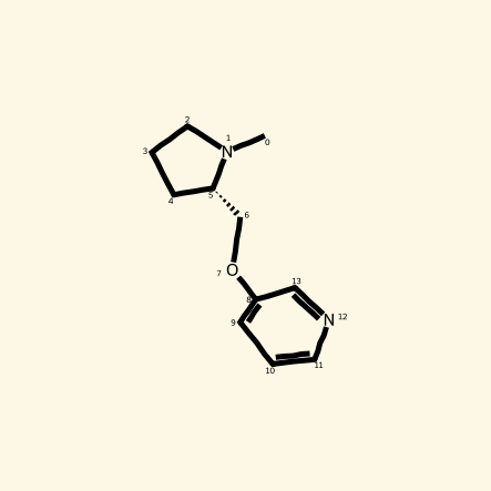 CN1CCC[C@H]1COc1cccnc1